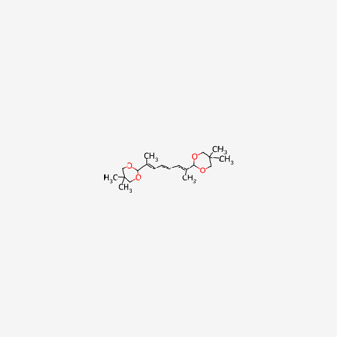 C\C(=C/C=C/C=C(\C)C1OCC(C)(C)CO1)C1OCC(C)(C)CO1